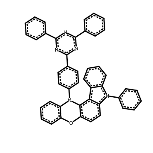 c1ccc(-c2nc(-c3ccccc3)nc(-c3ccc(N4c5ccccc5Oc5ccc6c(c54)c4ccccc4n6-c4ccccc4)cc3)n2)cc1